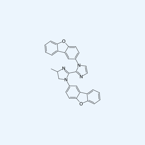 CC1CN(c2ccc3oc4ccccc4c3c2)C(c2nccn2-c2ccc3oc4ccccc4c3c2)=N1